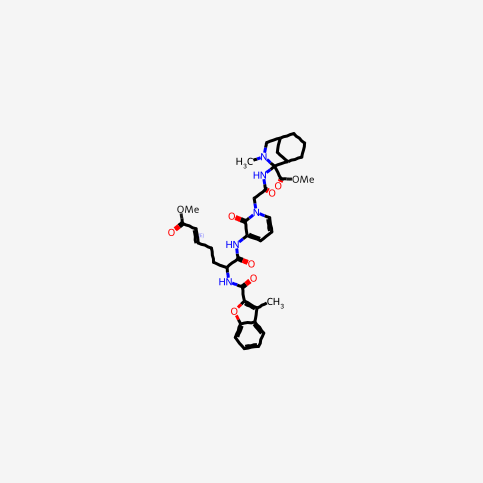 COC(=O)/C=C/CCC(NC(=O)c1oc2ccccc2c1C)C(=O)Nc1cccn(CC(=O)NC2(C(=O)OC)C3CCCC(C3)CN2C)c1=O